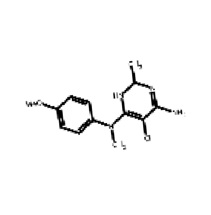 COc1ccc(N(C)C2=C(Cl)C(N)=NC(C)N2)cc1